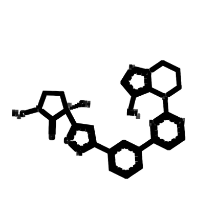 CN1CC[C@@](O)(c2cc(-c3cccc(-c4ccnc(N5CCCn6ncc(N)c65)n4)c3)no2)C1=O